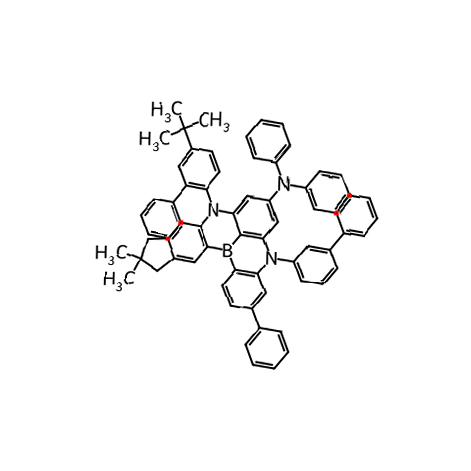 CC1(C)Cc2cc3c(cc2C1)N(c1ccc(C(C)(C)C)cc1-c1ccccc1)c1cc(N(c2ccccc2)c2ccccc2)cc2c1B3c1ccc(-c3ccccc3)cc1N2c1cccc(-c2ccccc2)c1